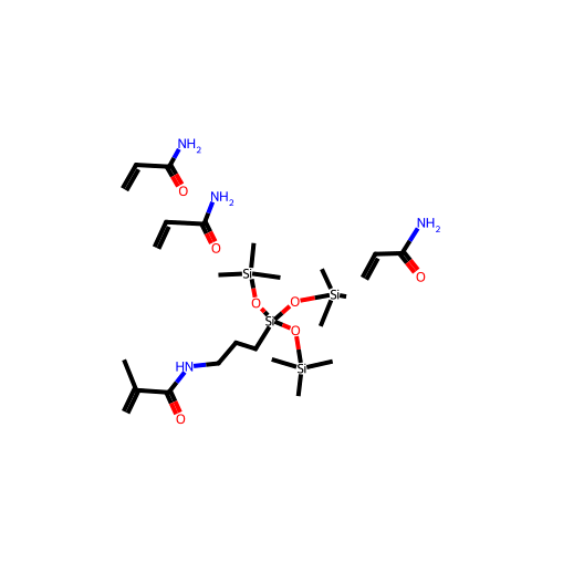 C=C(C)C(=O)NCCC[Si](O[Si](C)(C)C)(O[Si](C)(C)C)O[Si](C)(C)C.C=CC(N)=O.C=CC(N)=O.C=CC(N)=O